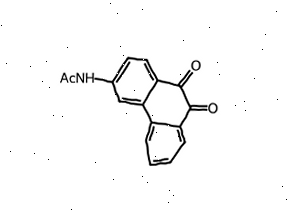 CC(=O)Nc1ccc2c(c1)-c1ccccc1C(=O)C2=O